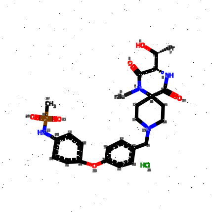 CCCCN1C(=O)[C@H]([C@H](O)C(C)C)NC(=O)C12CCN(Cc1ccc(Oc3ccc(NS(C)(=O)=O)cc3)cc1)CC2.Cl